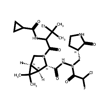 CCC(C)(C)C(NC(=O)C1CC1)C(=O)N1C[C@H]2[C@@H]([C@H]1C(=O)NN(C[C@@H]1CCNC1=O)C(=O)C(F)Cl)C2(C)C